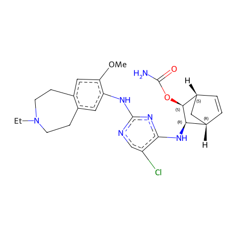 CCN1CCc2cc(Nc3ncc(Cl)c(N[C@H]4[C@@H](OC(N)=O)[C@@H]5C=C[C@H]4C5)n3)c(OC)cc2CC1